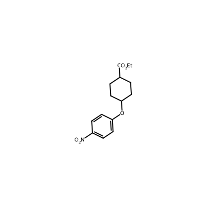 CCOC(=O)C1CCC(Oc2ccc([N+](=O)[O-])cc2)CC1